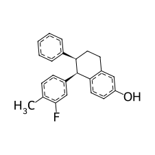 Cc1ccc([C@@H]2c3ccc(O)cc3CC[C@@H]2c2ccccc2)cc1F